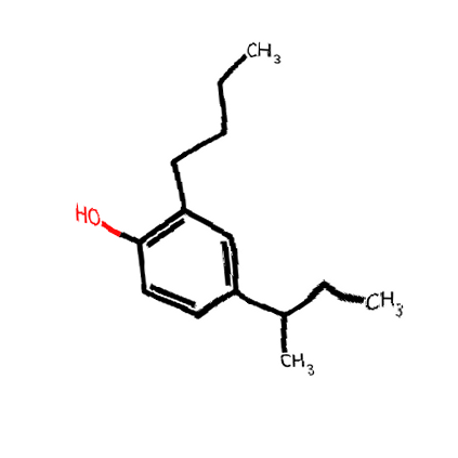 CCCCc1cc(C(C)CC)ccc1O